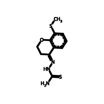 CSc1cccc2c1OCCC2=NNC(N)=S